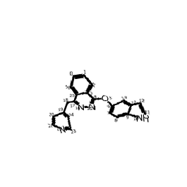 c1ccc2c(Oc3ccc4[nH]ccc4c3)nnc(Cc3ccncc3)c2c1